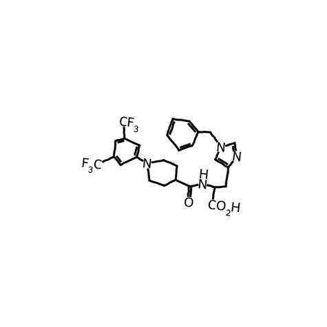 O=C(NC(Cc1cn(Cc2ccccc2)cn1)C(=O)O)C1CCN(c2cc(C(F)(F)F)cc(C(F)(F)F)c2)CC1